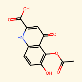 CC(=O)Oc1c(O)ccc2[nH]c(C(=O)O)cc(=O)c12